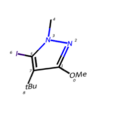 COc1nn(C)c(I)c1C(C)(C)C